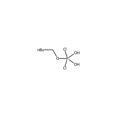 CCCCCOP(O)(O)(Cl)Cl